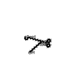 CCCCC/C=C\C/C=C\CCCCCCCCN(CCCCCCCCCCO)CCO[Si](c1ccccc1)(c1ccccc1)C(C)(C)C